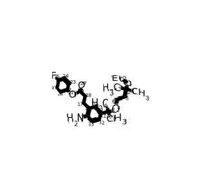 CCOC(C)(C)CCOC(C)(C)c1ccc(N)c(CCC(=O)Oc2ccc(F)cc2)c1